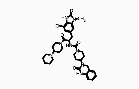 Cn1c(=O)[nH]c2c(Cl)cc(CC(NC(=O)N3CCC(N4Cc5ccccc5NC4=O)CC3)C(=O)N3CCC(N4CCCCC4)CC3)cc21